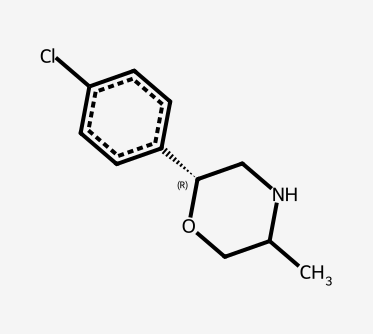 CC1CO[C@H](c2ccc(Cl)cc2)CN1